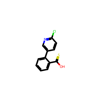 OC(=S)c1ccccc1-c1ccc(Cl)nc1